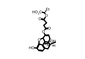 CC[C@@H](OC(=O)CCC(=O)OC1=CC[C@@]2(O)[C@H]3Cc4ccc(O)c5c4C2(CCN3C)C1O5)C(=O)O